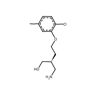 Cc1ccc(Cl)c(OCC[C@@H](CN)CO)c1